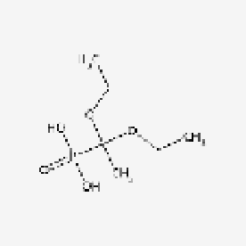 CCOC(C)(OCC)P(=O)(O)O